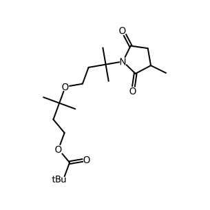 CC1CC(=O)N(C(C)(C)CCOC(C)(C)CCOC(=O)C(C)(C)C)C1=O